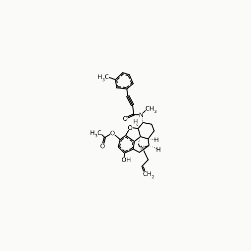 C=CCN1CC[C@]23c4c5c(O)cc(OC(C)=O)c4O[C@H]2[C@H](N(C)C(=O)C#Cc2cccc(C)c2)CC[C@H]3[C@H]1C5